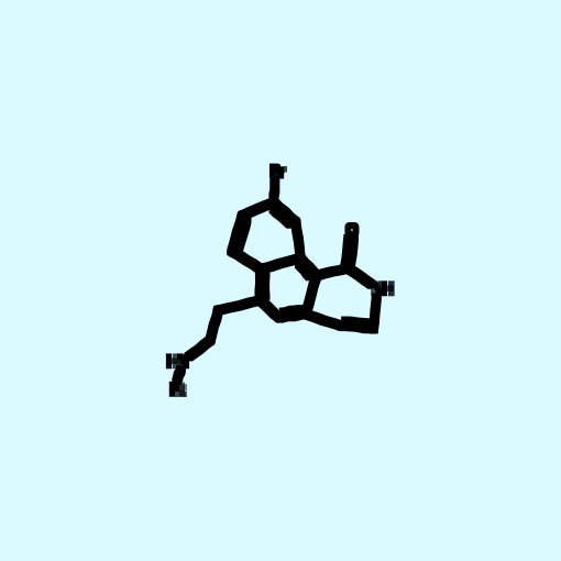 CCNCCc1cc2cc[nH]c(=O)c2c2cc(Br)ccc12